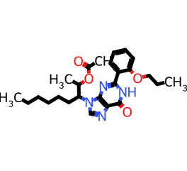 CCCCCCC(C(C)OC(C)=O)n1cnc2c(=O)[nH]c(-c3ccccc3OCCC)nc21